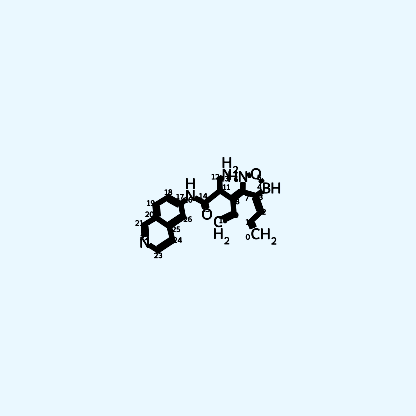 C=C/C=C1/BON/C1=C(/C=C)C(CN)C(=O)Nc1ccc2cnccc2c1